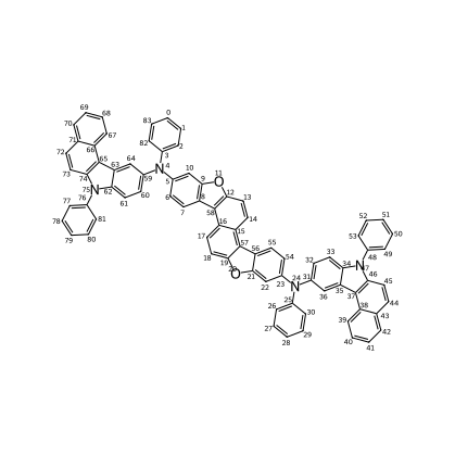 c1ccc(N(c2ccc3c(c2)oc2ccc4c(ccc5oc6cc(N(c7ccccc7)c7ccc8c(c7)c7c9ccccc9ccc7n8-c7ccccc7)ccc6c54)c23)c2ccc3c(c2)c2c4ccccc4ccc2n3-c2ccccc2)cc1